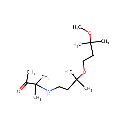 COC(C)(C)CCOC(C)(C)CCNC(C)(C)C(C)=O